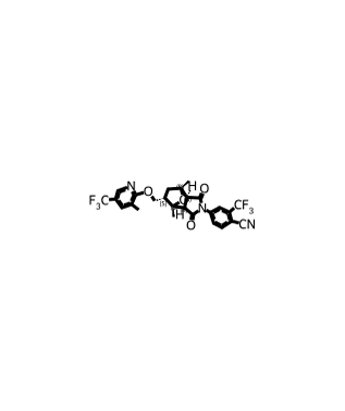 Cc1cc(C(F)(F)F)cnc1OC[C@@H]1C[C@@]2(C)O[C@]1(C)[C@@H]1C(=O)N(c3ccc(C#N)c(C(F)(F)F)c3)C(=O)[C@@H]12